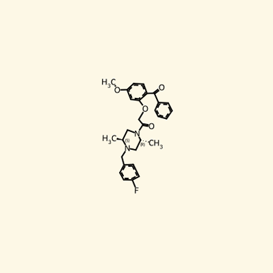 COc1ccc(C(=O)c2ccccc2)c(OCC(=O)N2C[C@H](C)N(Cc3ccc(F)cc3)C[C@H]2C)c1